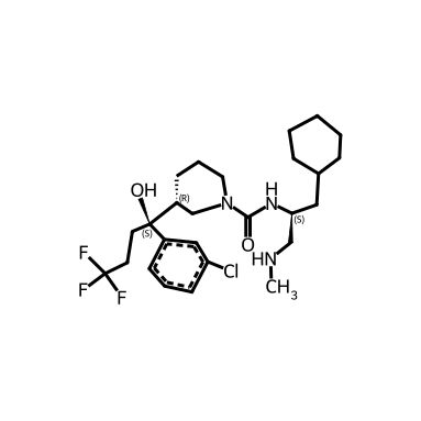 CNC[C@H](CC1CCCCC1)NC(=O)N1CCC[C@@H]([C@@](O)(CCC(F)(F)F)c2cccc(Cl)c2)C1